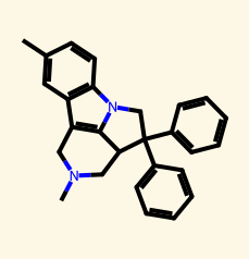 Cc1ccc2c(c1)c1c3n2CC(c2ccccc2)(c2ccccc2)C3CN(C)C1